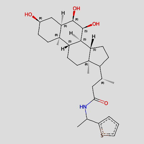 CC(NC(=O)C[C@@H](C)C1CC[C@H]2[C@@H]3[C@H](O)[C@H](O)[C@@H]4C[C@H](O)CC[C@]4(C)[C@H]3CC[C@]12C)c1cccs1